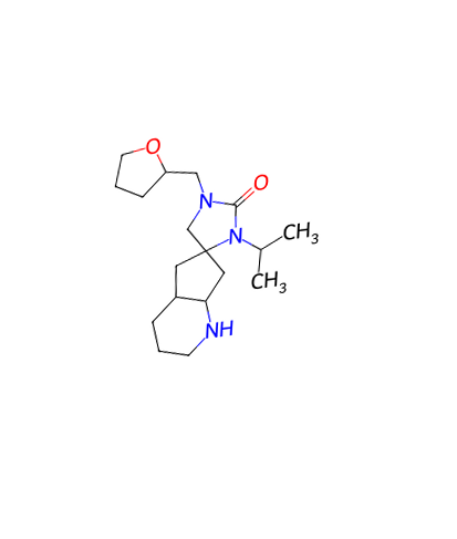 CC(C)N1C(=O)N(CC2CCCO2)CC12CC1CCCNC1C2